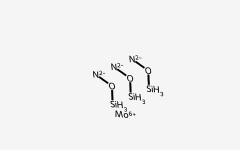 [Mo+6].[N-2]O[SiH3].[N-2]O[SiH3].[N-2]O[SiH3]